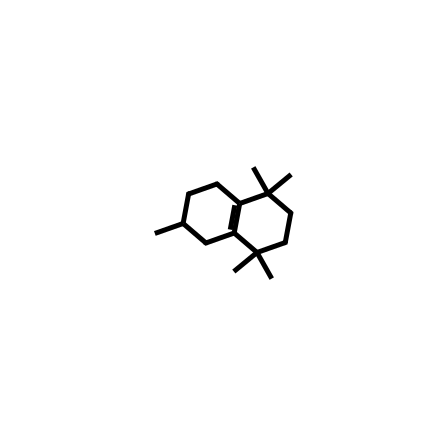 CC1CCC2=C(C1)C(C)(C)CCC2(C)C